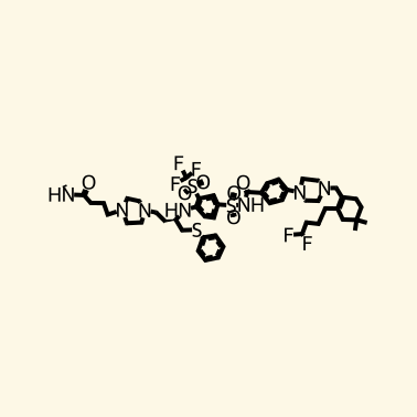 CNC(=O)CCCN1CCN(CC[C@H](CSc2ccccc2)Nc2ccc(S(=O)(=O)NC(=O)c3ccc(N4CCN(CC5=C(CCCC(F)F)CC(C)(C)CC5)CC4)cc3)cc2S(=O)(=O)C(F)(F)F)CC1